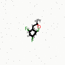 CC(C)C(=O)Cc1c(F)cc(F)cc1F